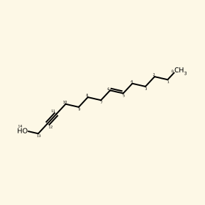 CCCCCC=CCCCCC#CCO